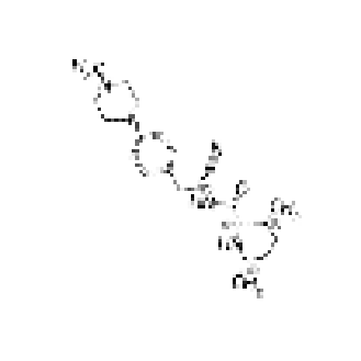 C[C@@H]1CC[C@H](C)N[C@@H]1C(=O)N[C@H](C#N)Cc1ccc(N2CCN(C)CC2)cc1